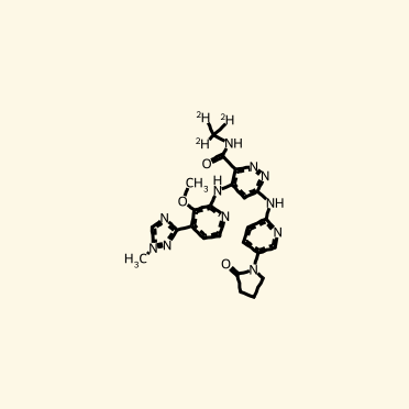 [2H]C([2H])([2H])NC(=O)c1nnc(Nc2ccc(N3CCCC3=O)cn2)cc1Nc1nccc(-c2ncn(C)n2)c1OC